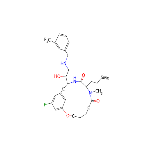 CSCCC1C(=O)NC(C(O)CNCc2cccc(C(F)(F)F)c2)Cc2cc(F)cc(c2)OCCCCC(=O)N1C